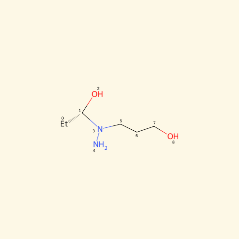 CC[C@H](O)N(N)CCCO